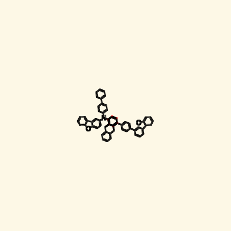 c1ccc(-c2ccc(N(c3ccc4oc5ccccc5c4c3)c3ccc(-c4ccc(-c5cccc6c5oc5ccccc56)cc4)c4c3C3c5ccccc5C4c4ccccc43)cc2)cc1